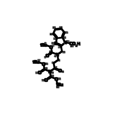 CC(C)(C)OC(=O)N(CCC(=O)N(C(=O)OC(C)(C)C)C(=O)OC(C)(C)C)Cc1nc2ccccc2n1C(=O)O